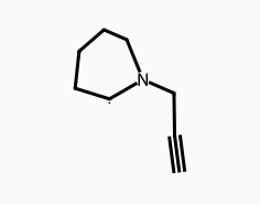 C#CCN1[CH]CCCC1